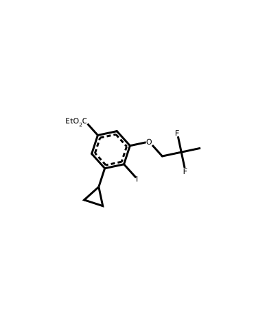 CCOC(=O)c1cc(OCC(C)(F)F)c(I)c(C2CC2)c1